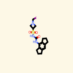 O=C(Nc1c2c(cc3c1CCC3)CCC2)NS(=O)(=O)C1CN(CI)C1